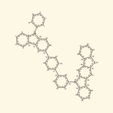 c1ccc(-n2c3ccccc3c3cc(-c4ccc(-c5cccc(-n6c7ccccc7c7cc8sc9ccccc9c8cc76)c5)cc4)ccc32)cc1